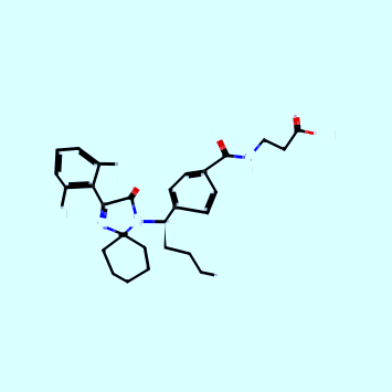 CCCC[C@H](c1ccc(C(=O)NCCC(=O)O)cc1)N1C(=O)C(c2c(C)cccc2C)=NC12CCCCC2